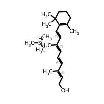 CC1=C(/C=C/C(C)=C/C=C/C(C)=C/CO)C(C)(C)CCC1.C[SiH](C)C